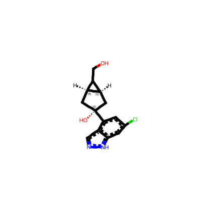 OCC1[C@H]2C[C@@](O)(c3cc(Cl)cc4[nH]ncc34)C[C@@H]12